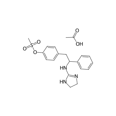 CC(=O)O.CS(=O)(=O)Oc1ccc(CC(NC2=NCCN2)c2ccccc2)cc1